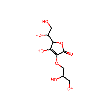 O=C1OC(C(O)CO)C(O)=C1OCC(O)CO